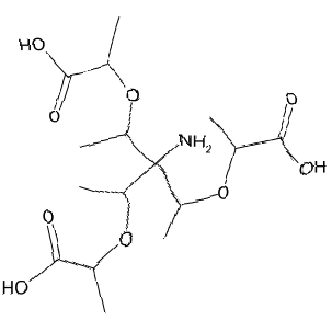 CC(OC(C)C(N)(C(C)OC(C)C(=O)O)C(C)OC(C)C(=O)O)C(=O)O